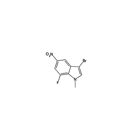 Cn1cc(Br)c2cc([N+](=O)[O-])cc(F)c21